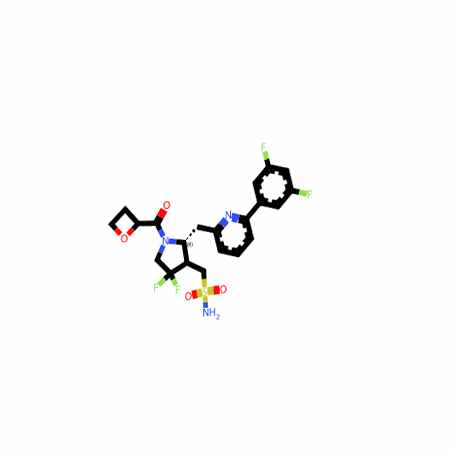 NS(=O)(=O)CC1[C@@H](Cc2cccc(-c3cc(F)cc(F)c3)n2)N(C(=O)C2CCO2)CC1(F)F